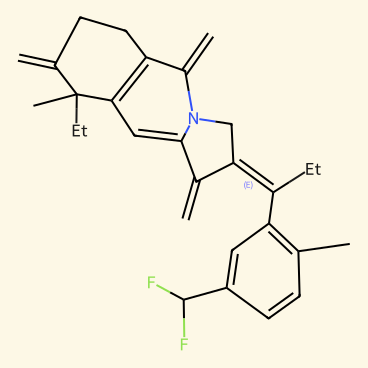 C=C1C2=CC3=C(CCC(=C)C3(C)CC)C(=C)N2C/C1=C(\CC)c1cc(C(F)F)ccc1C